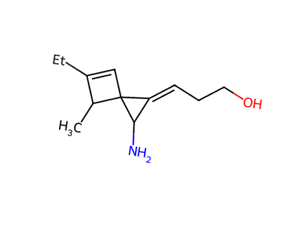 CCC1=CC2(/C(=C/CCO)C2N)C1C